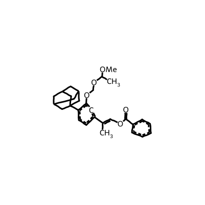 COC(C)OCOc1cc(C(C)=COC(=O)c2ccccc2)ccc1C12CC3CC(CC(C3)C1)C2